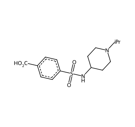 CC(C)N1CCC(NS(=O)(=O)c2ccc(C(=O)O)cc2)CC1